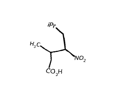 CC(C)CC(C(C)C(=O)O)[N+](=O)[O-]